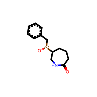 O=C1CCCC([S+]([O-])Cc2ccccc2)CN1